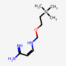 C[Si](C)(C)CCOCN/C=C\C(=N)N